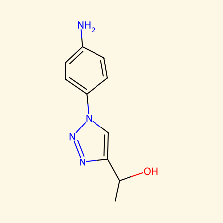 CC(O)c1cn(-c2ccc(N)cc2)nn1